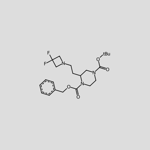 CC(C)(C)OC(=O)N1CCN(C(=O)OCc2ccccc2)C(CCN2CC(F)(F)C2)C1